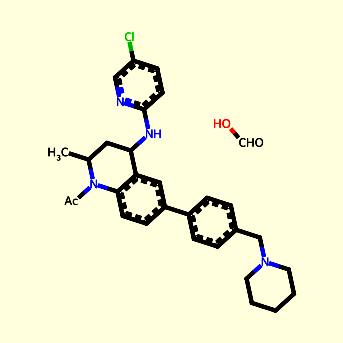 CC(=O)N1c2ccc(-c3ccc(CN4CCCCC4)cc3)cc2C(Nc2ccc(Cl)cn2)CC1C.O=CO